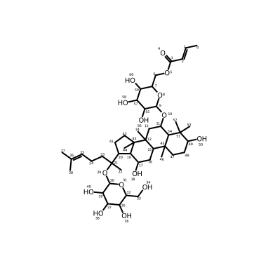 C/C=C/C(=O)OCC1OC(OC2CC3(C)C(CC(O)C4C(C(C)(CCC=C(C)C)OC5OC(CO)C(O)C(O)C5O)CCC43C)C3(C)CCC(O)C(C)(C)C23)C(O)C(O)C1O